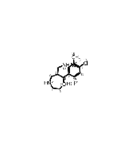 CC(=O)NCC1CNCCOC1c1ccc(Cl)c(C)c1.Cl